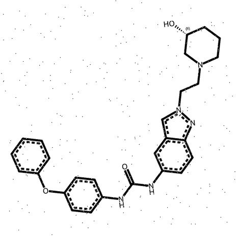 O=C(Nc1ccc(Oc2ccccc2)cc1)Nc1ccc2nn(CCN3CCC[C@@H](O)C3)cc2c1